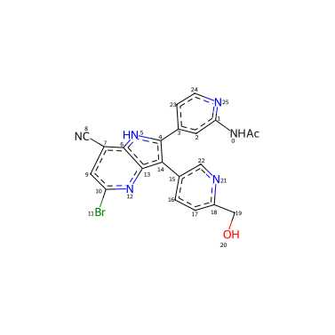 CC(=O)Nc1cc(-c2[nH]c3c(C#N)cc(Br)nc3c2-c2ccc(CO)nc2)ccn1